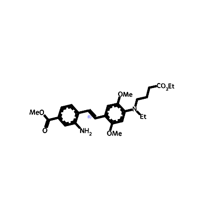 CCOC(=O)CCCN(CC)c1cc(OC)c(/C=C/c2ccc(C(=O)OC)cc2N)cc1OC